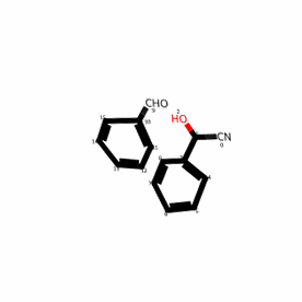 N#CC(O)c1ccccc1.O=Cc1ccccc1